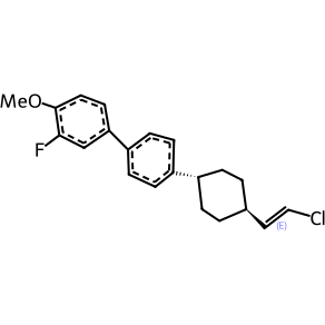 COc1ccc(-c2ccc([C@H]3CC[C@H](/C=C/Cl)CC3)cc2)cc1F